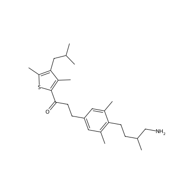 Cc1cc(CCC(=O)c2sc(C)c(CC(C)C)c2C)cc(C)c1CCC(C)CN